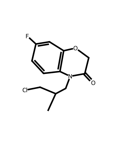 CC(CCl)CN1C(=O)COc2cc(F)ccc21